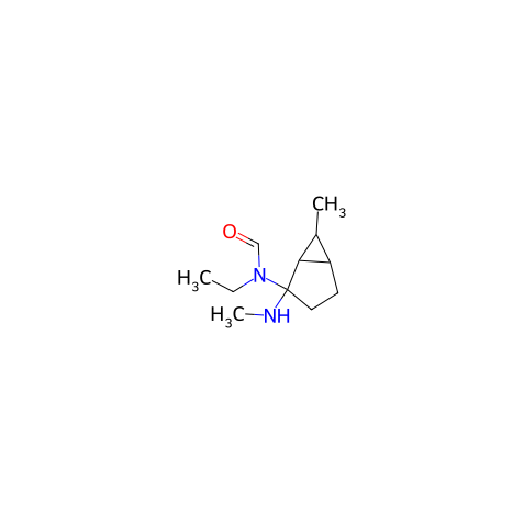 CCN(C=O)C1(NC)CCC2C(C)C21